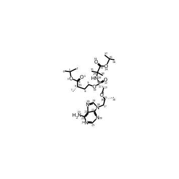 CC(C)OC(=O)[C@@H](C)CCO[P@@](=O)(CO[C@H](C)Cn1cnc2c(N)ncnc21)NC(C)(C)C(=O)OC(C)C